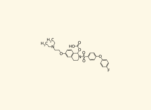 CCN(CC)CCOc1ccc2c(c1)CCN(S(=O)(=O)c1ccc(Oc3ccc(F)cc3)cc1)C2OC(=O)O